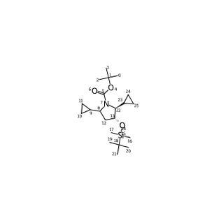 CC(C)(C)OC(=O)N1C(C2CC2)C[C@@H](O[Si](C)(C)C(C)(C)C)[C@@H]1C1CC1